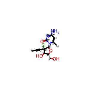 CC#C[C@@]1(Cl)C(O)[C@@H](CO)O[C@H]1n1c(C)cc(N)nc1=O